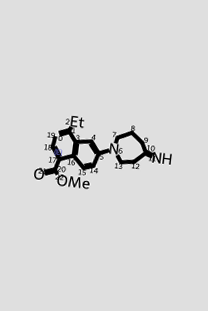 C=C(CC)c1cc(N2CCCC(=N)CC2)ccc1/C(=C\C)C(=O)OC